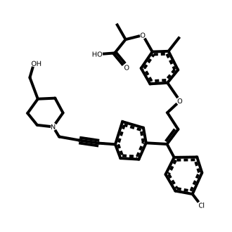 Cc1cc(OC/C=C(/c2ccc(Cl)cc2)c2ccc(C#CCN3CCC(CO)CC3)cc2)ccc1OC(C)C(=O)O